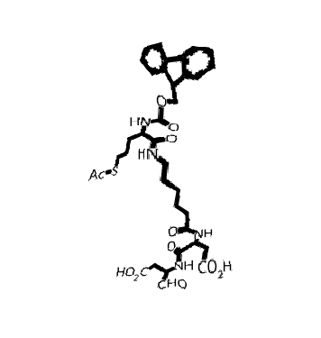 CC(=O)SCCCC(NC(=O)OCC1c2ccccc2-c2ccccc21)C(=O)NCCCCCC(=O)NC(CC(=O)O)C(=O)NC(C=O)CC(=O)O